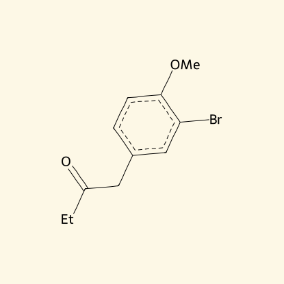 CCC(=O)Cc1ccc(OC)c(Br)c1